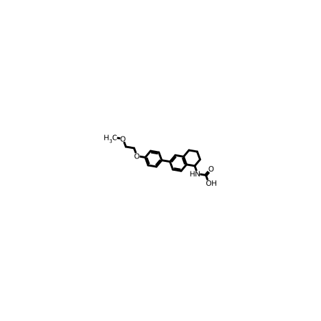 COCCOc1ccc(-c2ccc3c(c2)CCCC3NC(=O)O)cc1